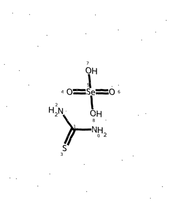 NC(N)=S.O=[Se](=O)(O)O